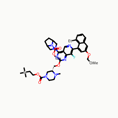 CCc1cccc2cc(OCOC)cc(-c3ncc4c(N5CC6CCC(C5)N6C(=O)OC(C)(C)C)nc(OC[C@H]5CN(C(=O)OCC[Si](C)(C)C)CCN5C)nc4c3F)c12